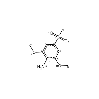 COc1cc(S(C)(=O)=O)cc(OC)c1N